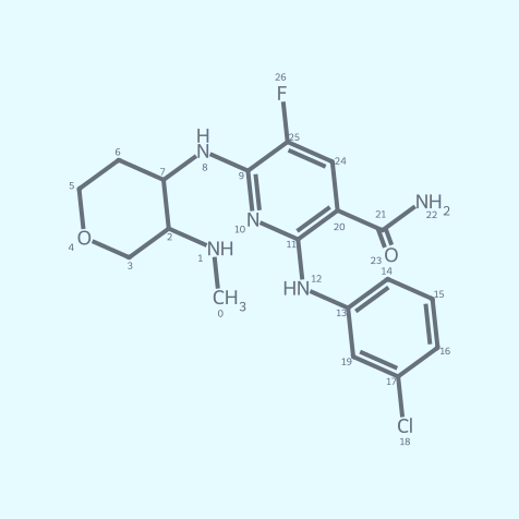 CNC1COCCC1Nc1nc(Nc2cccc(Cl)c2)c(C(N)=O)cc1F